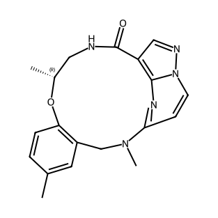 Cc1ccc2c(c1)CN(C)c1ccn3ncc(c3n1)C(=O)NC[C@@H](C)O2